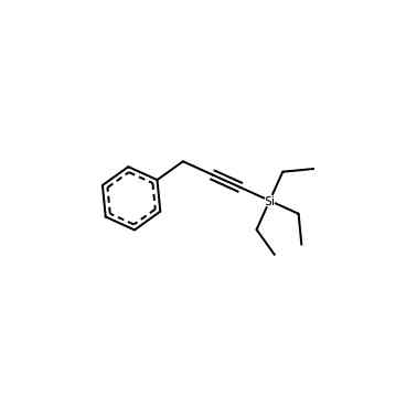 CC[Si](C#CCc1ccccc1)(CC)CC